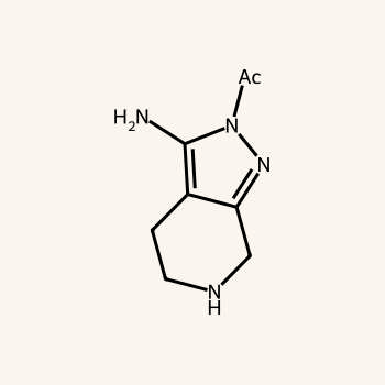 CC(=O)n1nc2c(c1N)CCNC2